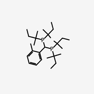 CCC(C)(C)P(C(c1ccccc1C)P(C(C)(C)CC)C(C)(C)CC)C(C)(C)CC